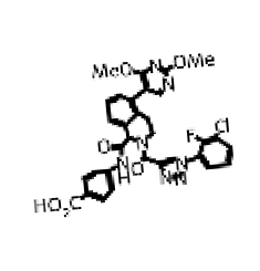 COc1ncc(-c2cccc3c2CCN(C(=O)c2cn(-c4cccc(Cl)c4F)nn2)C3C(=O)Nc2ccc(C(=O)O)cc2)c(OC)n1